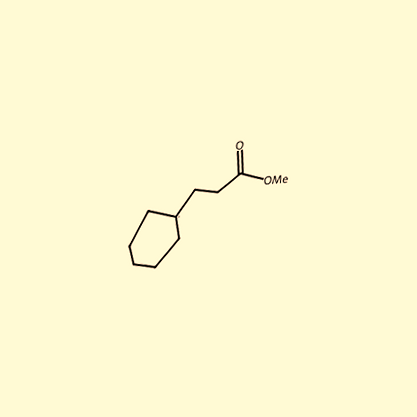 COC(=O)CC[C]1CCCCC1